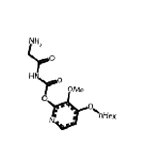 CCCCCCOc1ccnc(OC(=O)NC(=O)CN)c1OC